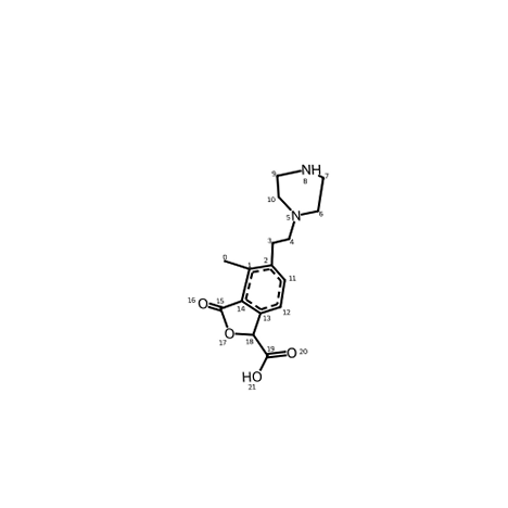 Cc1c(CCN2CCNCC2)ccc2c1C(=O)OC2C(=O)O